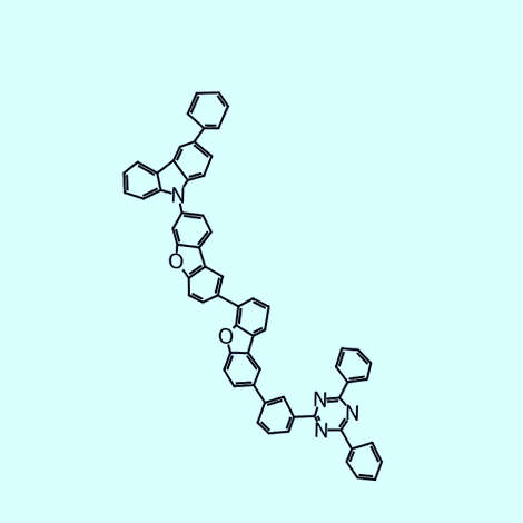 c1ccc(-c2ccc3c(c2)c2ccccc2n3-c2ccc3c(c2)oc2ccc(-c4cccc5c4oc4ccc(-c6cccc(-c7nc(-c8ccccc8)nc(-c8ccccc8)n7)c6)cc45)cc23)cc1